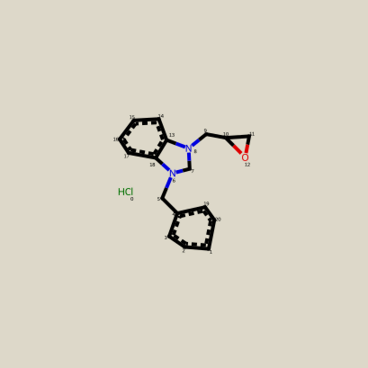 Cl.c1ccc(CN2CN(CC3CO3)c3ccccc32)cc1